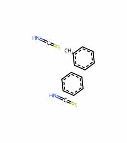 C.N=C=S.N=C=S.c1ccccc1.c1ccccc1